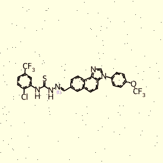 FC(F)(F)Oc1ccc(-n2cnc3c4ccc(/C=N/NC(=S)Nc5cc(C(F)(F)F)ccc5Cl)cc4ccc32)cc1